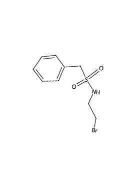 O=S(=O)(Cc1ccccc1)NCCBr